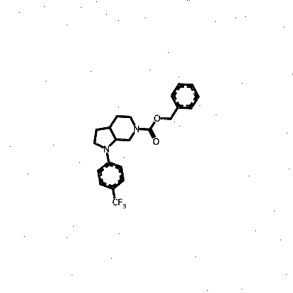 O=C(OCc1ccccc1)N1CCC2CCN(c3ccc(C(F)(F)F)cc3)C2C1